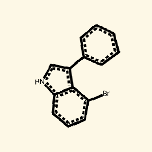 Brc1cccc2[nH]cc(-c3ccccc3)c12